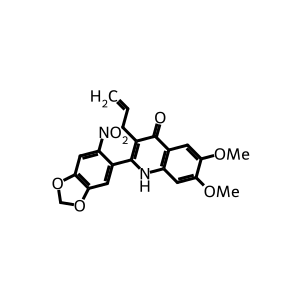 C=CCc1c(-c2cc3c(cc2[N+](=O)[O-])OCO3)[nH]c2cc(OC)c(OC)cc2c1=O